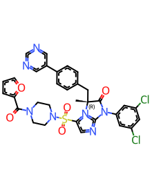 C[C@@]1(Cc2ccc(-c3cncnc3)cc2)C(=O)N(c2cc(Cl)cc(Cl)c2)c2ncc(S(=O)(=O)N3CCN(C(=O)c4ccco4)CC3)n21